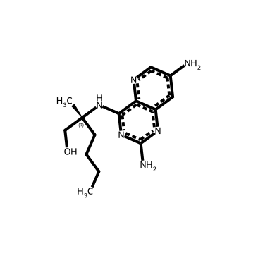 CCCC[C@](C)(CO)Nc1nc(N)nc2cc(N)cnc12